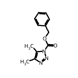 Cc1nnn(C(=O)OCc2ccccc2)c1C